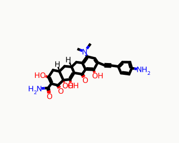 CN(C)c1cc(C#Cc2ccc(N)cc2)c(O)c2c1C[C@H]1C[C@H]3CC(O)=C(C(N)=O)C(=O)[C@@]3(O)C(O)=C1C2=O